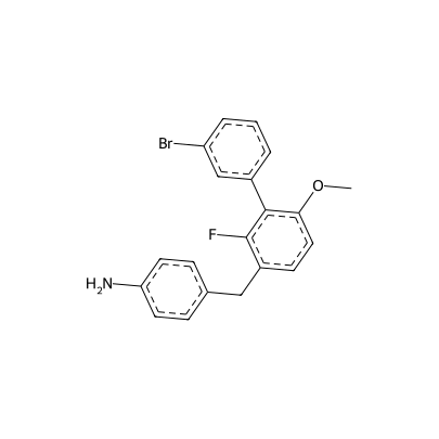 COc1ccc(Cc2ccc(N)cc2)c(F)c1-c1cccc(Br)c1